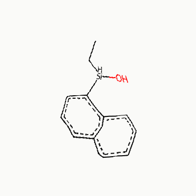 CC[SiH](O)c1cccc2ccccc12